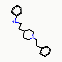 c1ccc(CCN2CCC(CCNc3ccccc3)CC2)cc1